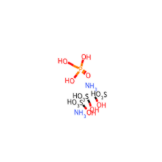 N.N.O=P(O)(O)O.O=S(=O)(O)O.O=S(=O)(O)O.O=S(=O)(O)O